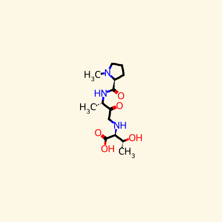 C[C@H](NC(=O)[C@@H]1CCCN1C)C(=O)CN[C@H](C(=O)O)[C@@H](C)O